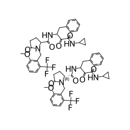 COc1cccc(C(F)(F)F)c1CN1C(=O)CCC1C(=O)NC(Cc1ccccc1)C(=O)C(=O)NC1CC1.COc1cccc(C(F)(F)F)c1CN1C(=O)CC[C@@H]1C(=O)NC(Cc1ccccc1)C(=O)C(=O)NC1CC1